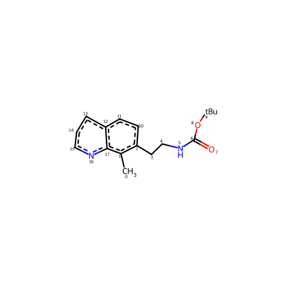 Cc1c(CCNC(=O)OC(C)(C)C)ccc2cccnc12